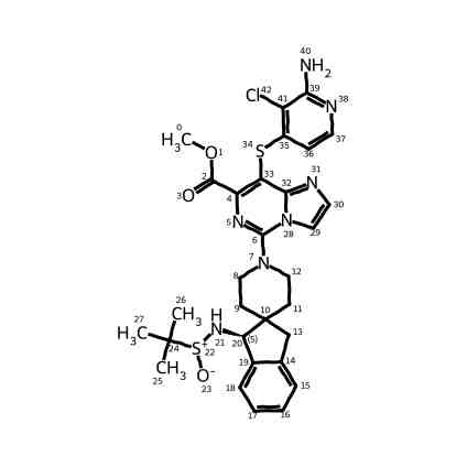 COC(=O)c1nc(N2CCC3(CC2)Cc2ccccc2[C@H]3N[S+]([O-])C(C)(C)C)n2ccnc2c1Sc1ccnc(N)c1Cl